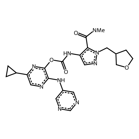 CNC(=O)c1c(NC(=O)Oc2nc(C3CC3)cnc2Nc2cncnc2)cnn1CC1CCOC1